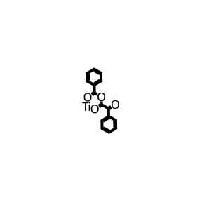 O=C(OC(=O)c1ccccc1)C(=O)c1ccccc1.[Ti]